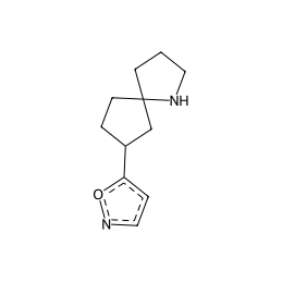 c1cc(C2CCC3(CCCN3)C2)on1